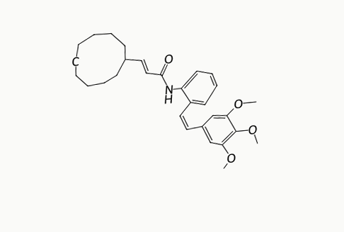 COc1cc(/C=C\c2ccccc2NC(=O)/C=C/C2CCCCCCCCC2)cc(OC)c1OC